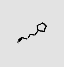 O=[C]OCCC1CCCC1